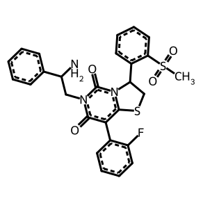 CS(=O)(=O)c1ccccc1C1CSc2c(-c3ccccc3F)c(=O)n(CC(N)c3ccccc3)c(=O)n21